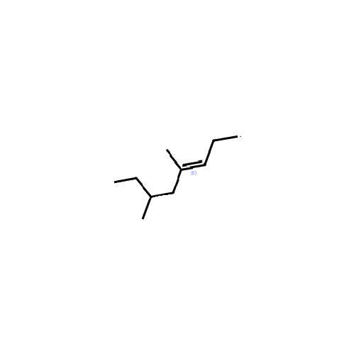 [CH2]C/C=C(\C)CC(C)CC